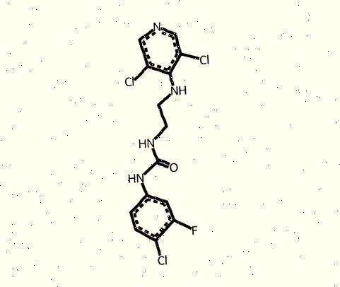 O=C(NCCNc1c(Cl)cncc1Cl)Nc1ccc(Cl)c(F)c1